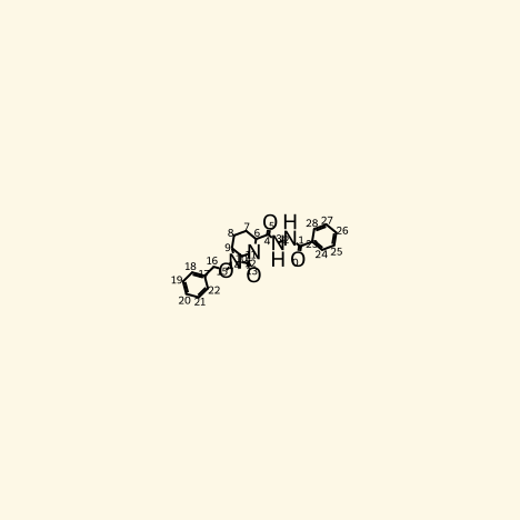 O=C(NNC(=O)C1CCC2CN1C(=O)N2OCc1ccccc1)c1ccccc1